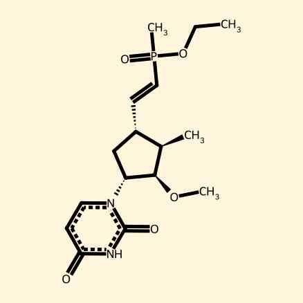 CCOP(C)(=O)/C=C/[C@H]1C[C@@H](n2ccc(=O)[nH]c2=O)[C@H](OC)[C@@H]1C